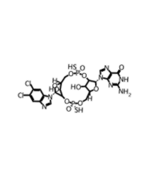 Nc1nc2c(ncn2[C@@H]2O[C@@H]3COP(=O)(S)OC4C(O)[C@@H](COP(=O)(S)OC2C3O)O[C@H]4n2cnc3cc(Cl)c(Cl)cc32)c(=O)[nH]1